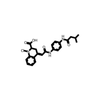 CC(C)CC(=O)Nc1ccc(NC(=O)C=C2CC(C(=O)O)N(Cl)c3ccccc32)cc1